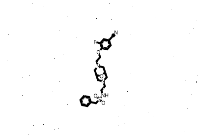 N#Cc1ccc(OCCN2CC3CN(CCNS(=O)(=O)Cc4ccccc4)CC(C2)O3)c(F)c1